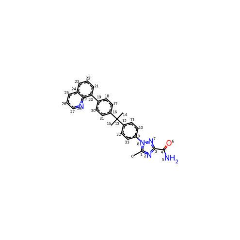 Cc1nc(C(N)=O)nn1-c1ccc(C(C)(C)c2ccc(-c3cccc4cccnc34)cc2)cc1